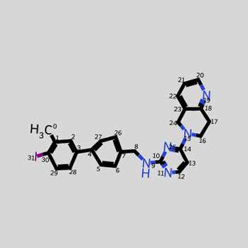 Cc1cc(-c2ccc(CNc3nccc(N4CCc5ncccc5C4)n3)cc2)ccc1I